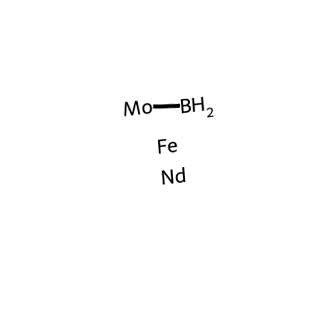 [BH2][Mo].[Fe].[Nd]